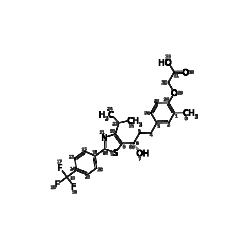 Cc1cc(CC[C@H](O)c2sc(-c3ccc(C(F)(F)F)cc3)nc2C(C)C)ccc1OCC(=O)O